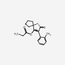 CCC(=O)OC1=C(c2ccccc2C)C(=O)OC12CCCC2